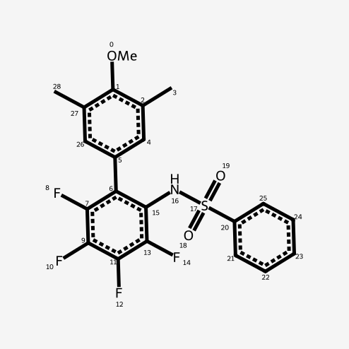 COc1c(C)cc(-c2c(F)c(F)c(F)c(F)c2NS(=O)(=O)c2ccccc2)cc1C